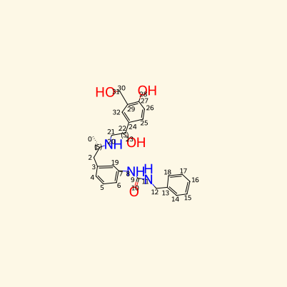 C[C@@H](Cc1cccc(NC(=O)NCc2ccccc2)c1)NC[C@@H](O)c1ccc(O)c(CO)c1